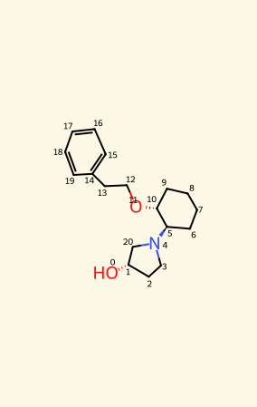 O[C@H]1CCN([C@@H]2CCCC[C@H]2OCCc2ccccc2)C1